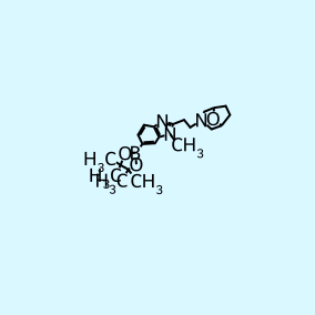 Cn1c(CCN2CC3CCC(C2)O3)nc2ccc(B3OC(C)(C)C(C)(C)O3)cc21